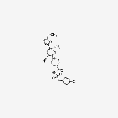 CCc1cnc(-c2cc(C#N)c(N3CCC(C(=O)NS(=O)(=O)Cc4ccc(Cl)cc4)CC3)nc2C)o1